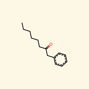 CCCCCCC(=O)Cc1ccccc1